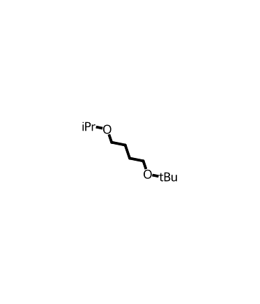 CC(C)OCCCCOC(C)(C)C